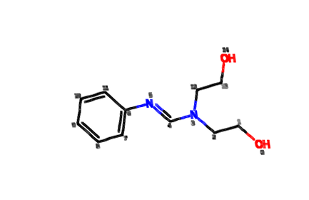 OCCN(C=Nc1ccccc1)CCO